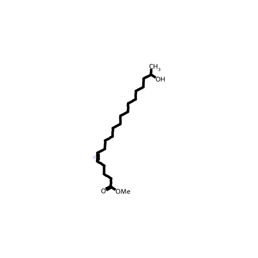 COC(=O)CCC/C=C\CCCCCCCCCCCCC(C)O